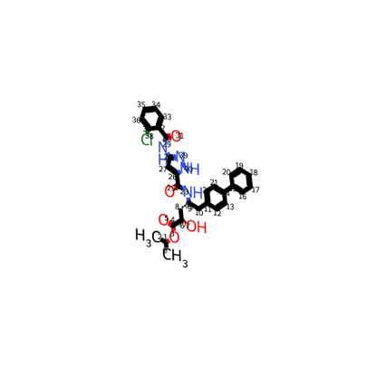 CC(C)OC(=O)[C@H](O)C[C@@H](Cc1ccc(-c2ccccc2)cc1)NC(=O)c1cc(NC(=O)c2ccccc2Cl)n[nH]1